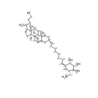 CC(C)CCC[C@H](C)[C@@H]1CC[C@@H]2[C@H]3CC=C4C[C@H](OCCCCCCS[C@@H]5O[C@@H](CN)[C@H](O)[C@@H](O)[C@H]5O)CC[C@@]4(C)[C@@H]3CC[C@]21C